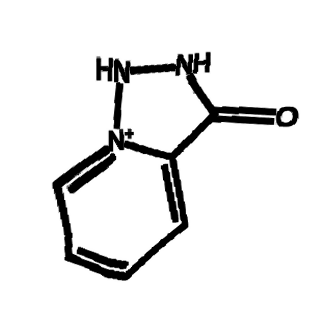 O=c1[nH][nH][n+]2ccccc12